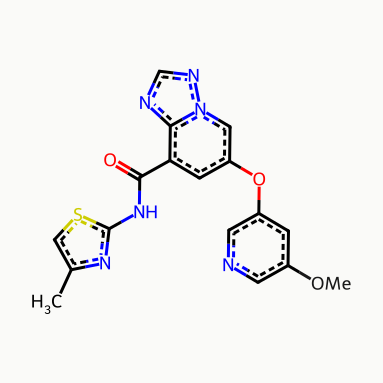 COc1cncc(Oc2cc(C(=O)Nc3nc(C)cs3)c3ncnn3c2)c1